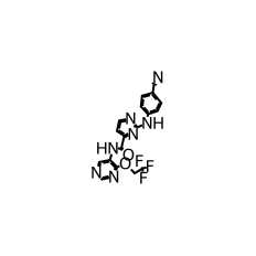 N#Cc1ccc(Nc2nccc(C(=O)Nc3cncnc3OCC(F)(F)F)n2)cc1